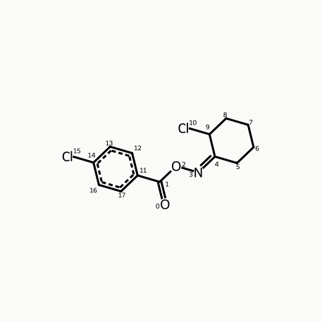 O=C(ON=C1CCCCC1Cl)c1ccc(Cl)cc1